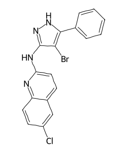 Clc1ccc2nc(Nc3n[nH]c(-c4ccccc4)c3Br)ccc2c1